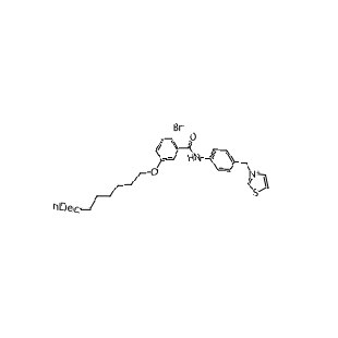 CCCCCCCCCCCCCCCCOc1cccc(C(=O)Nc2ccc(C[n+]3ccsc3)cc2)c1.[Br-]